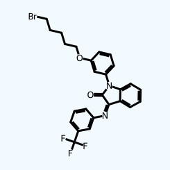 O=C1C(=Nc2cccc(C(F)(F)F)c2)c2ccccc2N1c1cccc(OCCCCCBr)c1